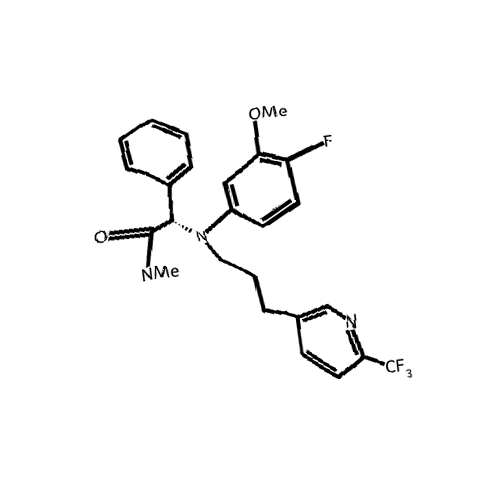 CNC(=O)[C@H](c1ccccc1)N(CCCc1ccc(C(F)(F)F)nc1)c1ccc(F)c(OC)c1